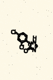 O=c1nc[nH]n1-c1ccc(Cl)cc1Cl